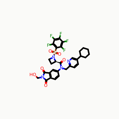 O=C1c2ccc(N(Cc3ccc(C4CCCCC4)cn3)C(=O)[C@H]3CCN3S(=O)(=O)c3c(F)c(F)c(F)c(F)c3F)cc2C(=O)N1CO